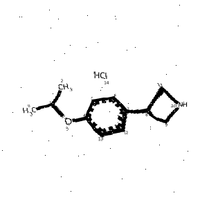 CC(C)Oc1ccc(C2CNC2)cc1.Cl